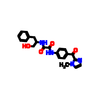 Cn1ccnc1C(=O)c1ccc(NC(=O)C(=O)NC(CO)Cc2ccccc2)cc1